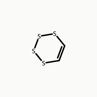 c1cssss1